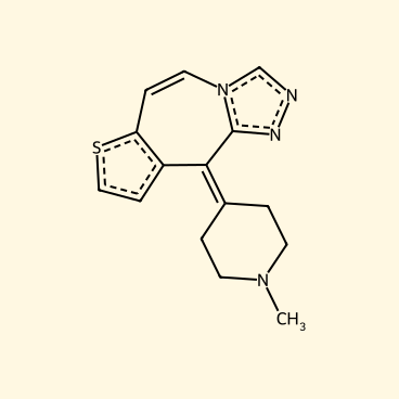 CN1CCC(=C2c3ccsc3C=Cn3cnnc32)CC1